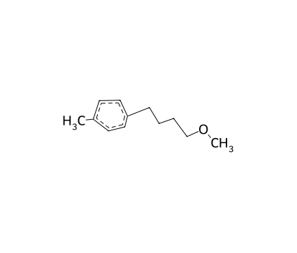 COCCCCc1ccc(C)cc1